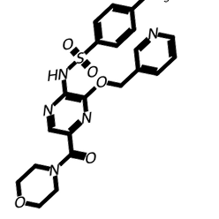 Cc1ccc(S(=O)(=O)Nc2ncc(C(=O)N3CCOCC3)nc2OCc2cccnc2)cc1